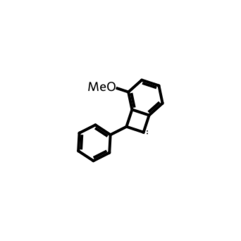 COc1cccc2c1C(c1ccccc1)[C]2